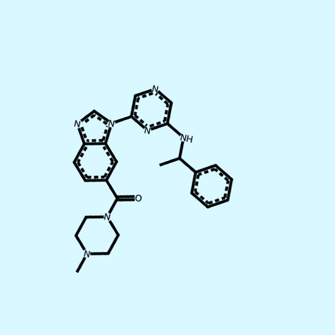 CC(Nc1cncc(-n2cnc3ccc(C(=O)N4CCN(C)CC4)cc32)n1)c1ccccc1